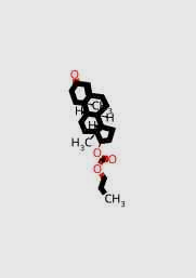 CCCOC(=O)O[C@H]1CC[C@H]2[C@@H]3CCC4=CC(=O)CC[C@]4(C)[C@H]3CC[C@]12C